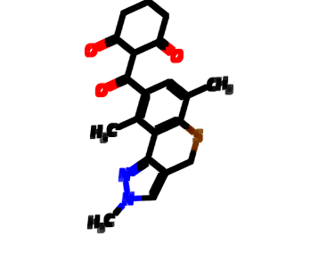 Cc1cc(C(=O)C2C(=O)CCCC2=O)c(C)c2c1SCc1cn(C)nc1-2